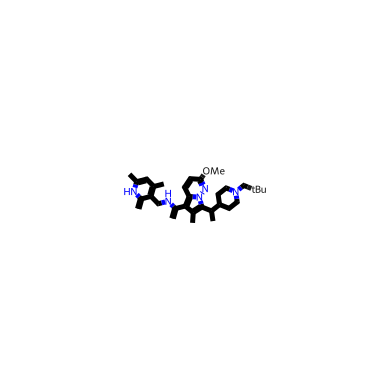 C=C1NC(C)=CC(C)=C1CNC(=C)c1c(C)c(C(C)C2CCN(CC(C)(C)C)CC2)n2nc(OC)ccc12